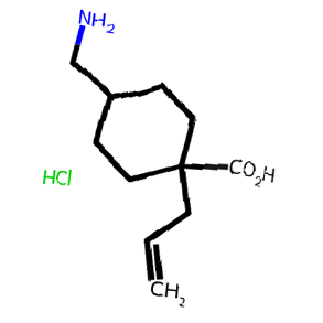 C=CCC1(C(=O)O)CCC(CN)CC1.Cl